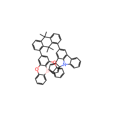 CC1(C)c2cccc(-c3cc4c5c(c3)Oc3ccccc3B5c3ccccc3O4)c2C(C)(C)c2c(-c3cc4c5ccccc5n5c6ccccc6c(c3)c45)cccc21